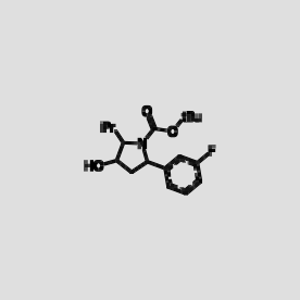 CC(C)C1C(O)CC(c2cccc(F)c2)N1C(=O)OC(C)(C)C